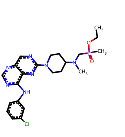 CCOP(C)(=O)CN(C)C1CCN(c2ncc3ncnc(Nc4cccc(Cl)c4)c3n2)CC1